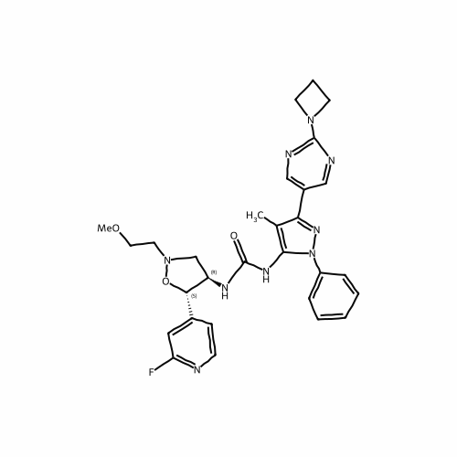 COCCN1C[C@@H](NC(=O)Nc2c(C)c(-c3cnc(N4CCC4)nc3)nn2-c2ccccc2)[C@H](c2ccnc(F)c2)O1